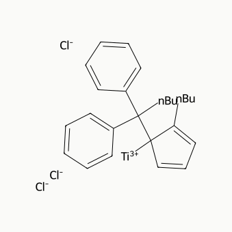 CCCCC1=CC=C[C]1([Ti+3])C(CCCC)(c1ccccc1)c1ccccc1.[Cl-].[Cl-].[Cl-]